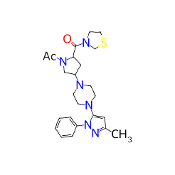 CC(=O)N1CC(N2CCN(c3cc(C)nn3-c3ccccc3)CC2)CC1C(=O)N1CCSC1